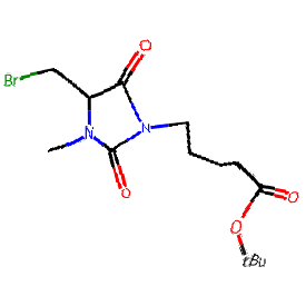 CN1C(=O)N(CCCC(=O)OC(C)(C)C)C(=O)C1CBr